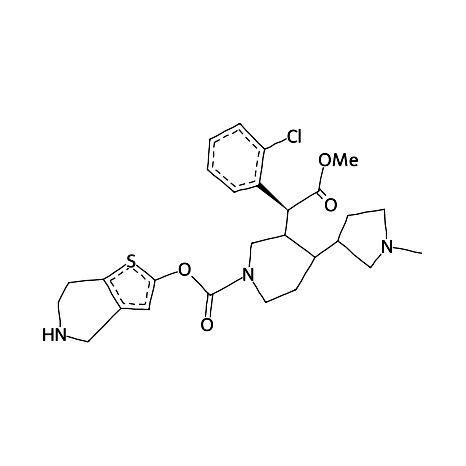 COC(=O)[C@H](c1ccccc1Cl)C1CN(C(=O)Oc2cc3c(s2)CCNC3)CCC1C1CCN(C)C1